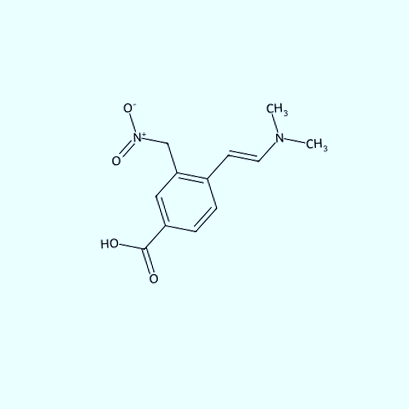 CN(C)C=Cc1ccc(C(=O)O)cc1C[N+](=O)[O-]